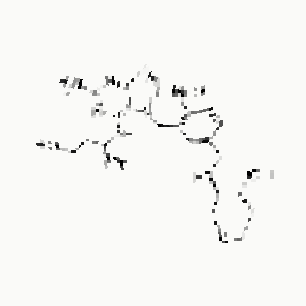 CCC[C@@H](CCO)Nc1nc(N)nc2cnn(Cc3cc(CN[C@@H]4COCC[C@H]4O)ccc3OC)c12